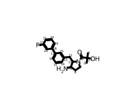 CC(C)(O)C(=O)N1CCC(N)C1Cc1cccc(-c2cccc(F)c2)c1